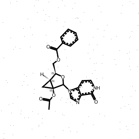 CC(=O)O[C@@]12C[C@H]1[C@@H](COC(=O)c1ccccc1)OC2n1cnc2c(=O)[nH]ccc21